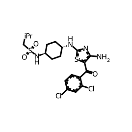 CC(C)CS(=O)(=O)N[C@H]1CC[C@H](Nc2nc(N)c(C(=O)c3ccc(Cl)cc3Cl)s2)CC1